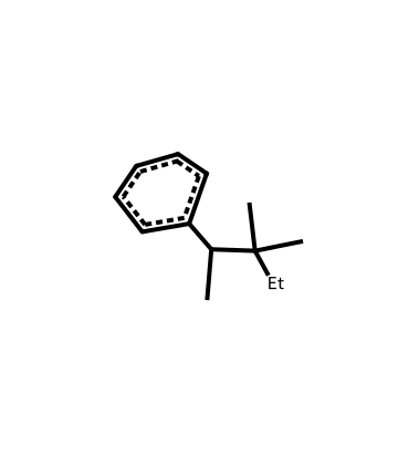 CCC(C)(C)C(C)c1ccccc1